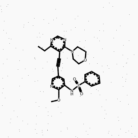 CCc1ncnc(N2CCOCC2)c1C#Cc1cnc(OC)c(NS(=O)(=O)c2ccccc2)c1